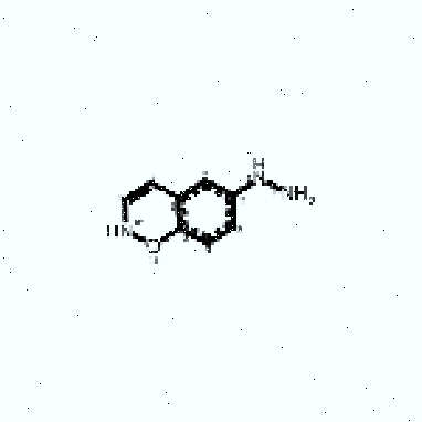 NNc1ccc2c(c1)C=CNO2